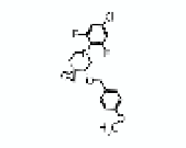 COc1ccc(CO[C@H]2CN(c3c(F)cc(Cl)cc3F)CC[C@@]23CO3)cc1